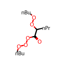 CCCCOOOC(=O)C(CCC)OOCCCC